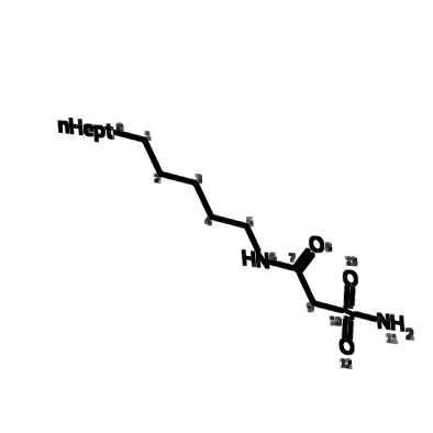 CCCCCCCCCCCCNC(=O)CS(N)(=O)=O